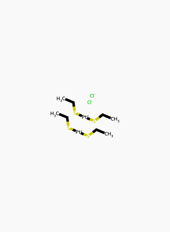 CC[S][Pt+][S]CC.CC[S][Pt+][S]CC.[Cl-].[Cl-]